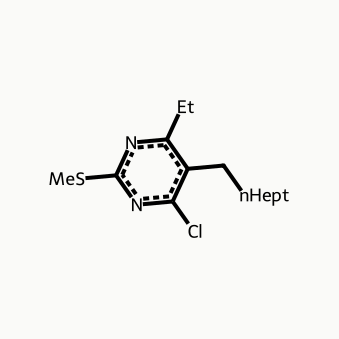 CCCCCCCCc1c(Cl)nc(SC)nc1CC